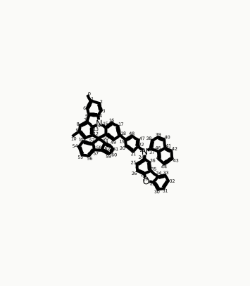 Cc1ccc2c(c1)c1cc(C)cc3c1n2-c1ccc(-c2ccc(N(c4ccc5oc6ccccc6c5c4)c4cccc5ccccc45)cc2)cc1C31c2ccccc2-c2ccccc21